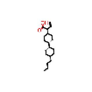 C=CC(C(=O)O)[C@H]1CC[C@H]([C@H]2CC[C@H](CCCC)CC2)CC1